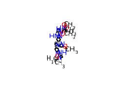 CCOc1ccc(N2[C@@H](c3ccc4nc([C@@H]5CCCN5C(=O)[CH]C(C)C)[nH]c4c3)CC[C@@H]2c2ccc3nc([C@@H]4CCCN4C(=O)[C@@H](NC(=O)OC)C(C)C)[nH]c3c2)cn1